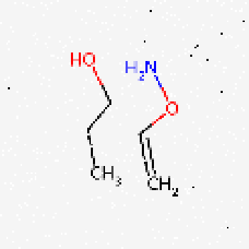 C=CON.CCCO